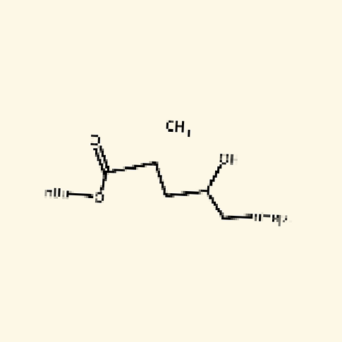 C.CCCCCCCCC(O)CCC(=O)OCCCC